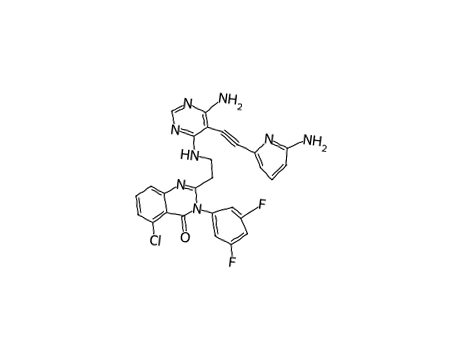 Nc1cccc(C#Cc2c(N)ncnc2NCCc2nc3cccc(Cl)c3c(=O)n2-c2cc(F)cc(F)c2)n1